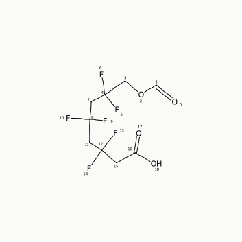 O=COCC(F)(F)CC(F)(F)CC(F)(F)CC(=O)O